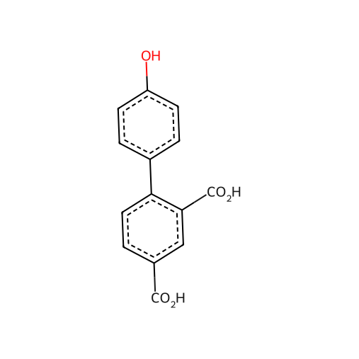 O=C(O)c1ccc(-c2ccc(O)cc2)c(C(=O)O)c1